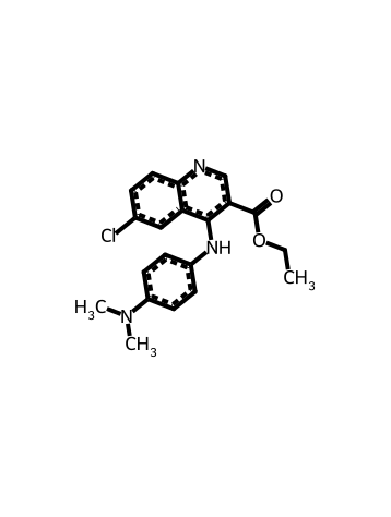 CCOC(=O)c1cnc2ccc(Cl)cc2c1Nc1ccc(N(C)C)cc1